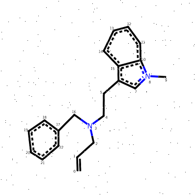 C=CCN(CCc1cn(C)c2ccccc12)Cc1ccccc1